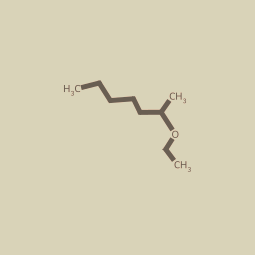 C[CH]OC(C)CCCCC